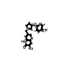 CCc1cc2ncc(CN3CC[C@@H](Oc4ccc(C#N)cn4)C3)cc2[nH]c1=O